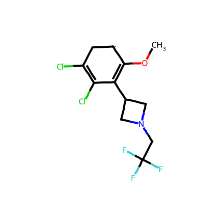 COC1=C(C2CN(CC(F)(F)F)C2)C(Cl)=C(Cl)C[CH]1